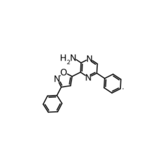 Nc1ncc(-c2cc[c]cc2)nc1-c1cc(-c2ccccc2)no1